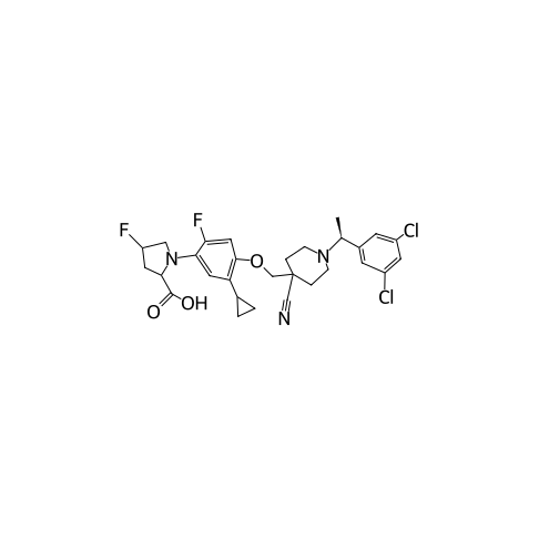 C[C@@H](c1cc(Cl)cc(Cl)c1)N1CCC(C#N)(COc2cc(F)c(N3CC(F)CC3C(=O)O)cc2C2CC2)CC1